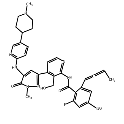 CC=C=Cc1cc(C(C)(C)C)cc(F)c1C(=O)Nc1nccc(-c2cc(Nc3ccc(C4CCN(C)CC4)cn3)c(=O)n(C)n2)c1CO